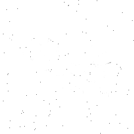 C[C@@]1(c2cc(Nc3ncnc4cc(C#N)cnc34)ccc2F)N=C(N)S[C@]2(CO)[C@@H]1C2(F)F